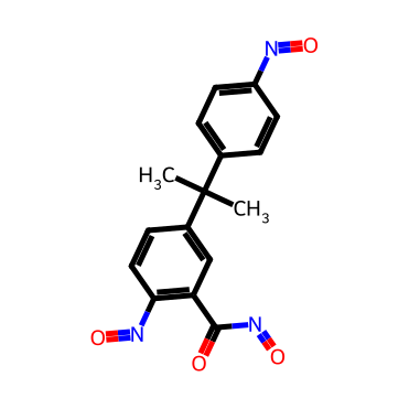 CC(C)(c1ccc(N=O)cc1)c1ccc(N=O)c(C(=O)N=O)c1